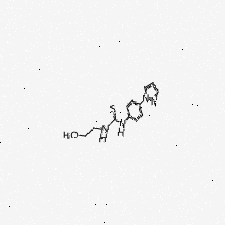 OCCNC(=S)Nc1ccc(-n2cccn2)cc1